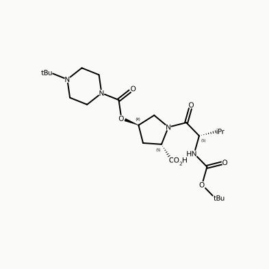 CC(C)[C@H](NC(=O)OC(C)(C)C)C(=O)N1C[C@H](OC(=O)N2CCN(C(C)(C)C)CC2)C[C@H]1C(=O)O